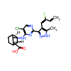 C=C/C(F)=C\c1c(-c2ncc(Cl)c(N[C@@H]3C4CCC(CC4)[C@H]3C(=O)O)n2)n[nH]c1C